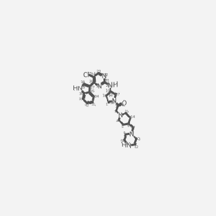 O=C(CN1CCC(CN2CCNCC2)CC1)N1CC[C@@H](Nc2ncc(Cl)c(-c3c[nH]c4ccccc34)n2)C1